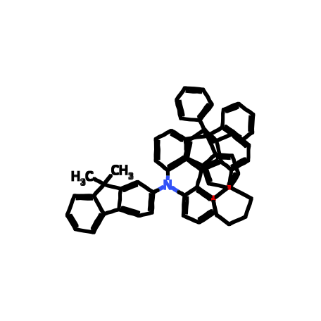 CC1(C)c2ccccc2-c2ccc(N(c3ccccc3-c3cccc4cccc(C5CCCCC5)c34)c3cccc4c3-c3ccccc3C4(c3ccccc3)c3ccccc3)cc21